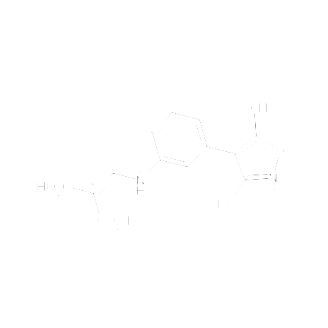 Cc1noc(C)c1-c1cccc(NC=C(C(=O)O)C(=O)O)c1